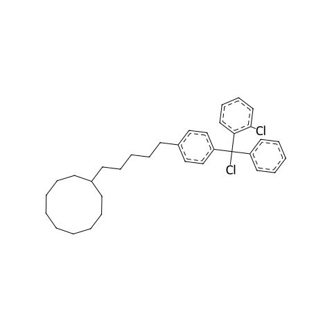 Clc1ccccc1C(Cl)(c1ccccc1)c1ccc(CCCCCC2CCCCCCCCC2)cc1